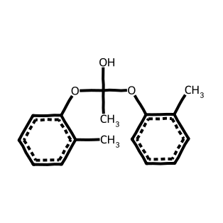 Cc1ccccc1OC(C)(O)Oc1ccccc1C